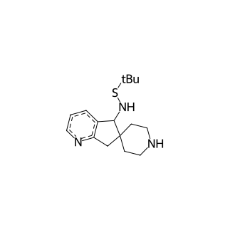 CC(C)(C)SNC1c2cccnc2CC12CCNCC2